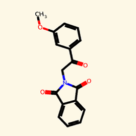 COc1cccc(C(=O)CN2C(=O)c3ccccc3C2=O)c1